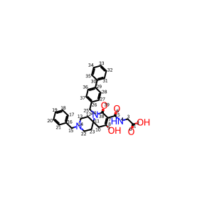 O=C(O)CNC(=O)C1=C(O)CC2(CCN(Cc3ccccc3)CC2)N(Cc2ccc(-c3ccccc3)cc2)C1=O